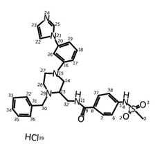 CS(=O)(=O)Nc1ccc(C(=O)NCC2CN(c3cccc(-n4ccnc4)c3)CCN2Cc2ccccc2)cc1.Cl